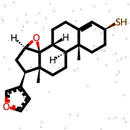 C[C@]12CC[C@H](S)C=C1CC[C@@H]1[C@@H]2CC[C@]2(C)[C@@H](c3ccoc3)C[C@H]3O[C@]132